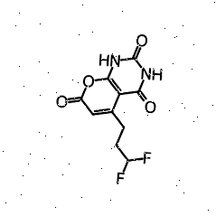 O=c1[nH]c(=O)c2c(CCC(F)F)cc(=O)oc2[nH]1